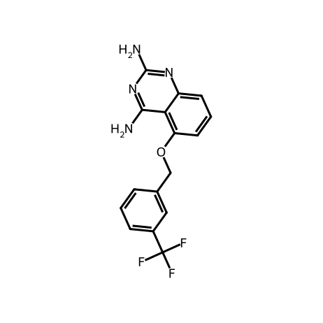 Nc1nc(N)c2c(OCc3cccc(C(F)(F)F)c3)cccc2n1